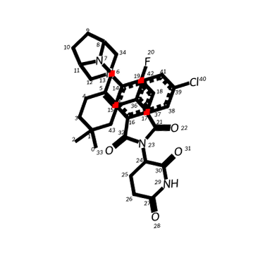 CC1(C)CCC(CN2C3CCC2CN(c2cc4c(cc2F)C(=O)N(C2CCC(=O)NC2=O)C4=O)C3)=C(c2ccc(Cl)cc2)C1